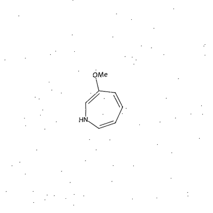 COC1=CNC=CC=C1